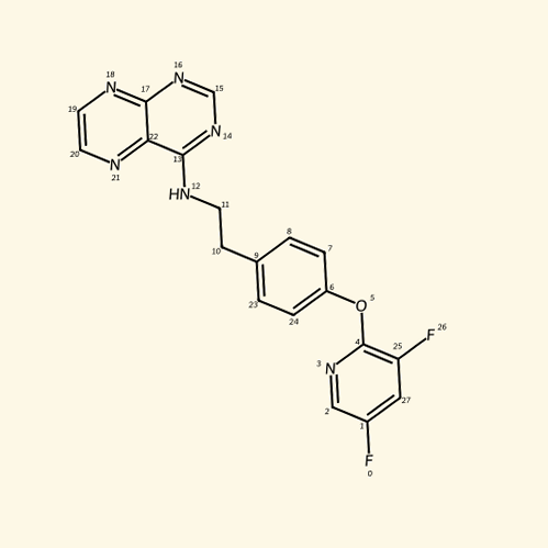 Fc1cnc(Oc2ccc(CCNc3ncnc4nccnc34)cc2)c(F)c1